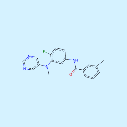 Cc1cccc(C(=O)Nc2ccc(F)c(N(C)c3cncnc3)c2)c1